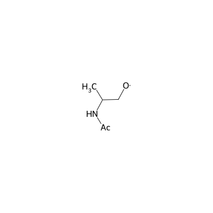 CC(=O)NC(C)C[O]